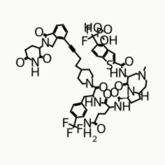 CN1CC[C@H]2CC[C@@H](C(=O)NC(CCC(N)=O)C(=O)NC(Cc3ccc(C(F)(F)F)cc3)C(=O)N3CCC(CCC#Cc4cccc5c4CN(C4CCC(=O)NC4=O)C5=O)CC3)N2C(=O)[C@@H](NC(=O)c2cc3cc(C(F)(F)P(=O)(O)O)ccc3s2)C1